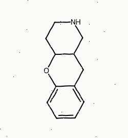 c1ccc2c(c1)CC1CNCCC1O2